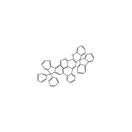 c1ccc(C2(c3ccccc3)c3ccccc3-c3ccc(-c4ccccc4-c4cc5c(c6ccccc46)Oc4ccccc4C54c5ccccc5-c5ccccc54)cc32)cc1